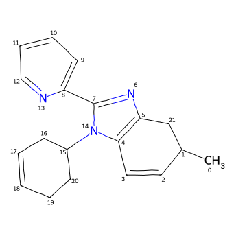 CC1C=Cc2c(nc(-c3ccccn3)n2C2CC=CCC2)C1